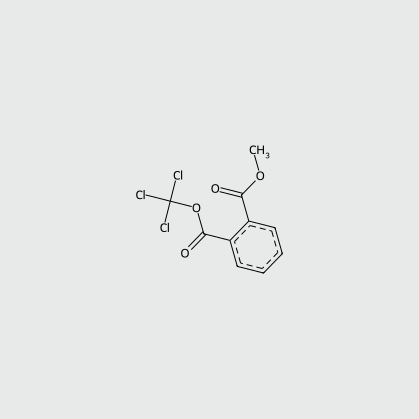 COC(=O)c1ccccc1C(=O)OC(Cl)(Cl)Cl